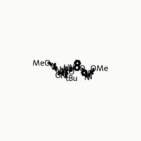 COCCN(C)C(C)(C)CNC(=O)c1nc(NC(=O)N[C@H]2CC[C@@H](Oc3ccc4nnc(C(C)(C)COC)n4c3)c3ccccc32)cc(C(C)(C)C)n1